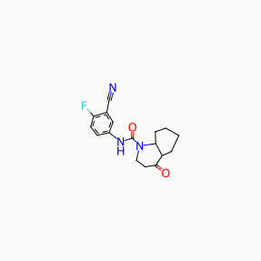 N#Cc1cc(NC(=O)N2CCC(=O)C3CCCCC32)ccc1F